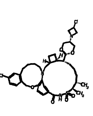 C[C@@H]1[C@@H](C)CCC[C@@H]([C@H]2OC[C@@H](N3CC(Cl)C3)CO2)[C@@H]2CC[C@H]2CN2CCCCc3cc(Cl)ccc3COc3ccc(cc32)C(=O)NS1(=O)=O